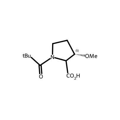 CO[C@H]1CCN(C(=O)C(C)(C)C)C1C(=O)O